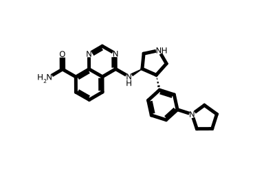 NC(=O)c1cccc2c(N[C@H]3CNC[C@@H]3c3cccc(N4CCCC4)c3)ncnc12